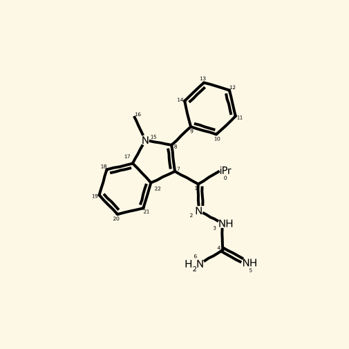 CC(C)C(=NNC(=N)N)c1c(-c2ccccc2)n(C)c2ccccc12